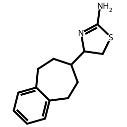 NC1=NC(C2CCc3ccccc3CC2)CS1